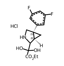 CCOC(=O)C(O)(O)C1NC[C@@]2(c3cc(F)cc(F)c3)C[C@@H]12.Cl